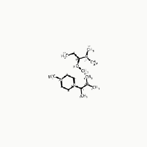 CC(N(C)C)N1CCN(C)CC1.CCC(OC)N(C)C